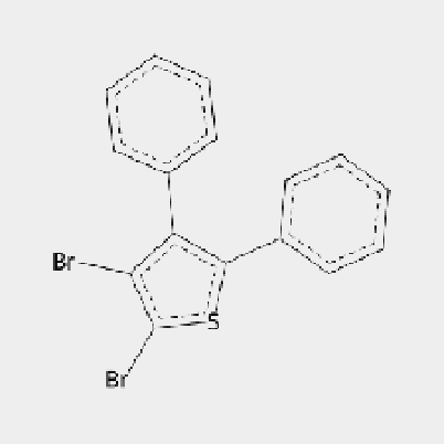 Brc1sc(-c2ccccc2)c(-c2ccccc2)c1Br